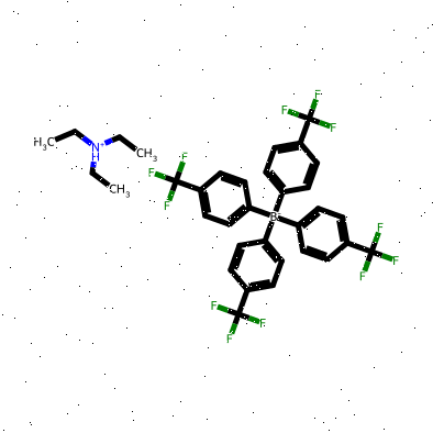 CC[NH+](CC)CC.FC(F)(F)c1ccc([B-](c2ccc(C(F)(F)F)cc2)(c2ccc(C(F)(F)F)cc2)c2ccc(C(F)(F)F)cc2)cc1